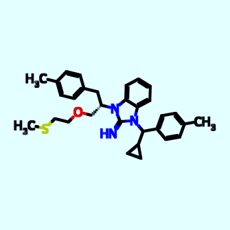 CSCCOC[C@H](Cc1ccc(C)cc1)n1c(=N)n(C(c2ccc(C)cc2)C2CC2)c2ccccc21